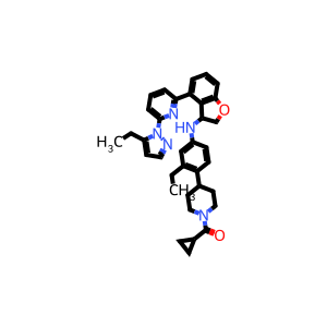 CCc1cc(NC2COc3cccc(-c4cccc(-n5nccc5CC)n4)c32)ccc1C1CCN(C(=O)C2CC2)CC1